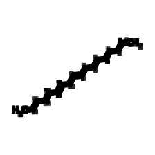 C[CH]CCCCCC/C=C/C/C=C/CCCCC